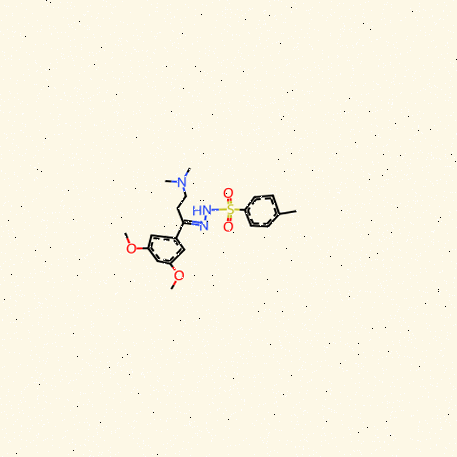 COc1cc(OC)cc(/C(CCN(C)C)=N/NS(=O)(=O)c2ccc(C)cc2)c1